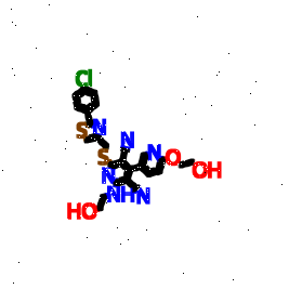 N#Cc1c(NCCO)nc(SCc2csc(-c3ccc(Cl)cc3)n2)c(C#N)c1-c1ccc(OCCO)nc1